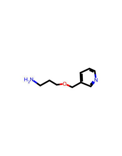 NCCCOCc1cccnc1